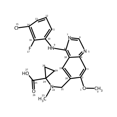 COc1cc2ncnc(Nc3cccc(Cl)c3F)c2cc1CN(C)C1(C(=O)O)CC1